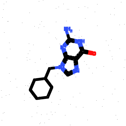 Nc1nc2c(ncn2CC2CCCCC2)c(=O)[nH]1